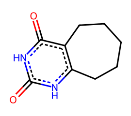 O=c1[nH]c2c(c(=O)[nH]1)CCCCC2